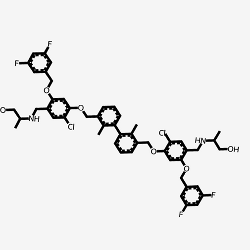 Cc1c(COc2cc(OCc3cc(F)cc(F)c3)c(CNC(C)CO)cc2Cl)cccc1-c1cccc(COc2cc(OCc3cc(F)cc(F)c3)c(CNC(C)CO)cc2Cl)c1C